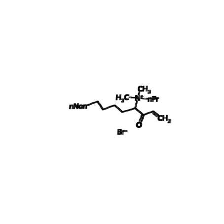 C=CC(=O)C(CCCCCCCCCCCCC)[N+](C)(C)CCC.[Br-]